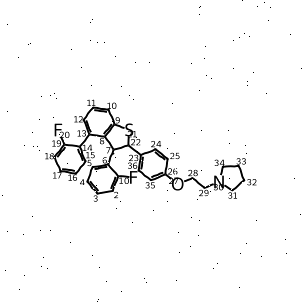 Fc1ccccc1[C]1c2c(cccc2-c2ccccc2F)SC1c1ccc(OCCN2CCCC2)cc1